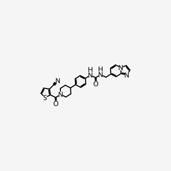 N#Cc1ccsc1C(=O)N1CCC(c2ccc(NC(=O)NCc3ccn4ccnc4c3)cc2)CC1